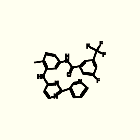 Cc1ccc(NC(=O)c2cc(F)cc(C(F)(F)F)c2)cc1Nc1ccnc(-c2cccnc2)n1